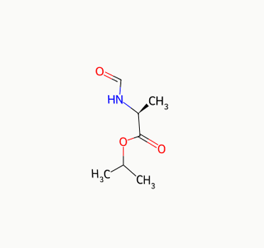 CC(C)OC(=O)[C@H](C)NC=O